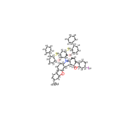 CCCCc1ccc2c(c1)oc1c2cc2c3c1c1c4oc5cc(I)ccc5c4cc4c1n3-c1c3c(cc5c1B2c1cccc(-c2ccccc2)c1S5)Sc1c(cccc1-c1ccccc1)B34